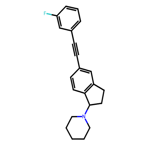 Fc1cccc(C#Cc2ccc3c(c2)CCC3N2CCCCC2)c1